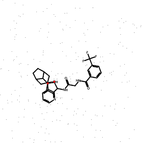 O=C(CNC(=O)c1cccc(C(F)(F)F)c1)NC1CCN(C2C3CCC2CC(O)(c2cccnc2)C3)C1